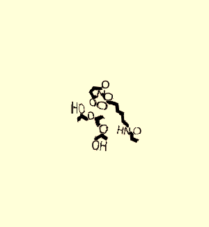 C=CC(=O)NCCCCCC(=O)ON1C(=O)CCC1=O.CC(O)COC(C)COC(C)CO